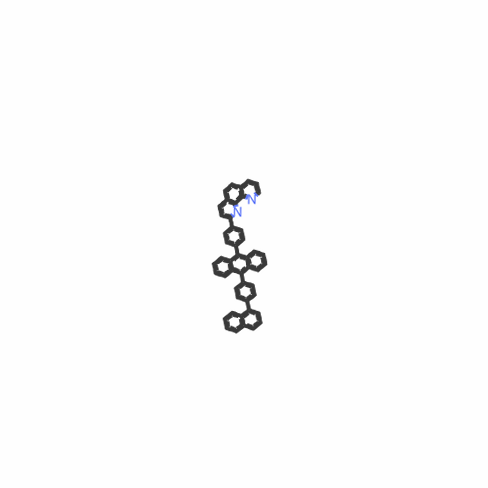 c1ccc2c(-c3ccc(-c4c5ccccc5c(-c5ccc(-c6ccc7ccc8cccnc8c7n6)cc5)c5ccccc45)cc3)cccc2c1